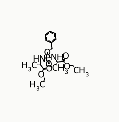 CCOC(=O)[C@H](C)NP(=O)(N[C@@H](C)C(=O)OCC)OCc1ccccc1